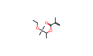 C=C(C)C(=O)OC(C)[Si](C)(C)OCC